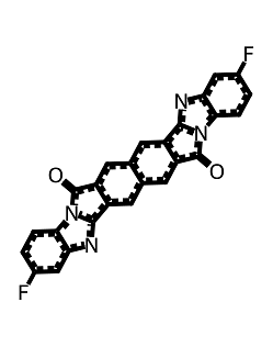 O=c1c2cc3cc4c(cc3cc2c2nc3cc(F)ccc3n12)c(=O)n1c2ccc(F)cc2nc41